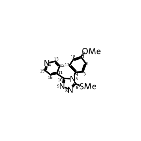 COc1ccc(-n2c(SC)nnc2-c2ccncc2)cc1